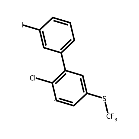 FC(F)(F)Sc1c[c]c(Cl)c(-c2cccc(I)c2)c1